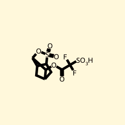 O=C(OC1C2CC3C1OS(=O)(=O)C3C2)C(F)(F)S(=O)(=O)O